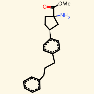 COC(=O)[C@@]1(N)CC[C@H](c2ccc(CCCc3ccccc3)cc2)C1